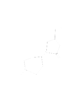 CN1CCC(N2CC(C(=O)O)CC2=O)CC1